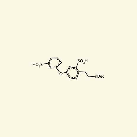 CCCCCCCCCCCCc1ccc(Oc2cccc(S(=O)(=O)O)c2)cc1S(=O)(=O)O